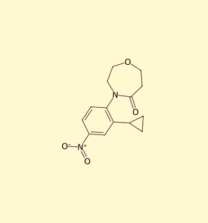 O=C1CCOCCN1c1ccc([N+](=O)[O-])cc1C1CC1